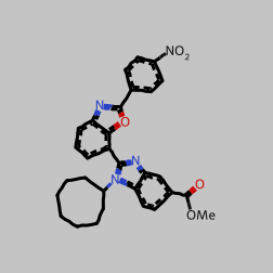 COC(=O)c1ccc2c(c1)nc(-c1cccc3nc(-c4ccc([N+](=O)[O-])cc4)oc13)n2C1CCCCCCC1